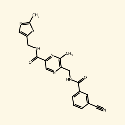 Cc1ncc(CNC(=O)c2cnc(CNC(=O)c3cccc(C#N)c3)c(C)n2)s1